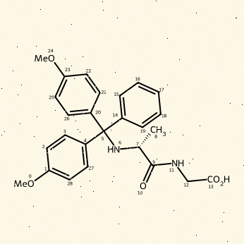 COc1ccc(C(N[C@H](C)C(=O)NCC(=O)O)(c2ccccc2)c2ccc(OC)cc2)cc1